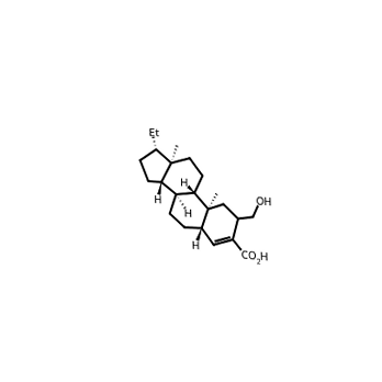 CC[C@H]1CC[C@H]2[C@@H]3CC[C@H]4C=C(C(=O)O)C(CO)C[C@]4(C)[C@H]3CC[C@]12C